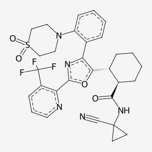 N#CC1(NC(=O)[C@@H]2CCCC[C@H]2c2oc(-c3ncccc3C(F)(F)F)nc2-c2ccccc2N2CCS(=O)(=O)CC2)CC1